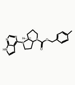 Cc1ccc(COC(=O)N2CCC[C@H]3C2CCN3c2ncnc3[nH]ccc23)cc1